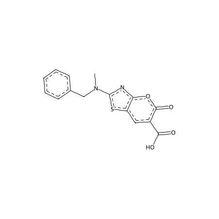 CN(Cc1ccccc1)c1nc2oc(=O)c(C(=O)O)cc2s1